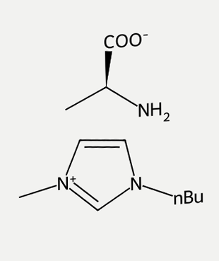 CCCCn1cc[n+](C)c1.C[C@H](N)C(=O)[O-]